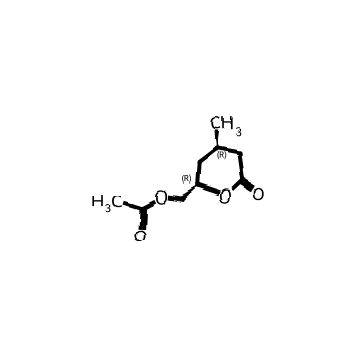 CC(=O)OC[C@H]1C[C@@H](C)CC(=O)O1